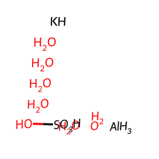 O.O.O.O.O.O.O=S(=O)(O)O.[AlH3].[KH]